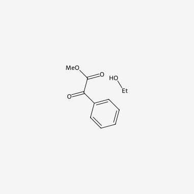 CCO.COC(=O)C(=O)c1ccccc1